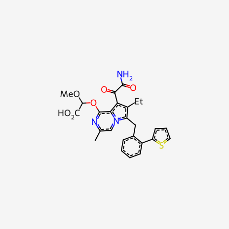 CCc1c(C(=O)C(N)=O)c2c(OC(OC)C(=O)O)nc(C)cn2c1Cc1ccccc1-c1cccs1